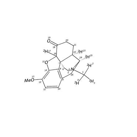 [2H]C([2H])([2H])N1CC[C@]23c4c5ccc(OC)c4OC2([2H])C(=O)CC[C@@]3([2H])[C@@]1([2H])C5